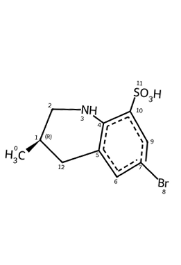 C[C@H]1CNc2c(cc(Br)cc2S(=O)(=O)O)C1